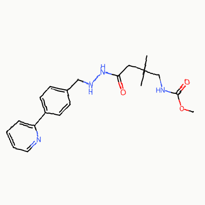 COC(=O)NCC(C)(C)CC(=O)NNCc1ccc(-c2ccccn2)cc1